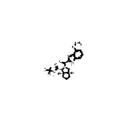 COc1cccc2[nH]c(C(=O)N3C[C@@H]4CCC[C@@H]4[C@H]3C(=O)OC(C)(C)C)nc12